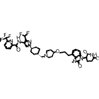 Cn1c(=O)n(C2CCC(=O)NC2=O)c2cccc(CCCOC3CCN(C[C@H]4CC[C@H](n5cc(NC(=O)c6cccc(C(F)(F)F)n6)c(C(F)F)n5)CC4)CC3)c21